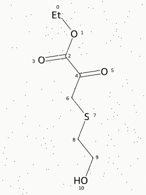 CCOC(=O)C(=O)CSCCO